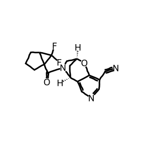 N#Cc1cncc2c1O[C@H]1C[C@@H]2N(C(=O)C23CCCC2C3(F)F)C1